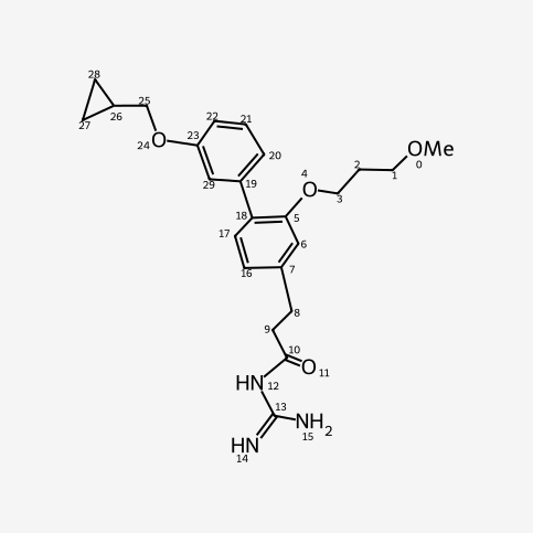 COCCCOc1cc(CCC(=O)NC(=N)N)ccc1-c1cccc(OCC2CC2)c1